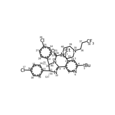 CCOc1cc(C(C)(C)C)ncc1C1=N[C@@](C)(c2ccc(Cl)cc2)[C@@](C)(c2ccc(Cl)cc2)N1C(=O)N1CCN(CCC(F)(F)F)CC1